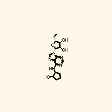 OC1CCCC1Nc1ncnc2c1ncn2[C@@H]1O[C@H](CI)[C@@H](O)[C@H]1O